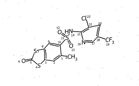 Cc1cc2sc(=O)sc2cc1S(=O)(=O)Nc1ncc(C(F)(F)F)cc1Cl